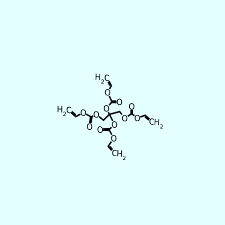 C=COC(=O)OCC(COC(=O)OC=C)(OC(=O)OC=C)OC(=O)OC=C